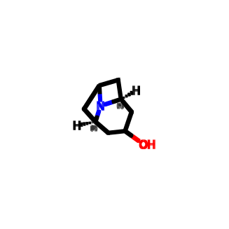 OC1C[C@@H]2CC3C[C@H](C1)N32